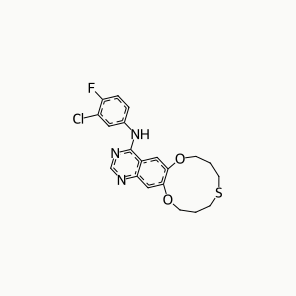 Fc1ccc(Nc2ncnc3cc4c(cc23)OCCCSCCCO4)cc1Cl